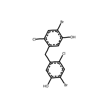 Oc1cc(Cc2cc(O)c(Br)cc2Cl)c(Cl)cc1Br